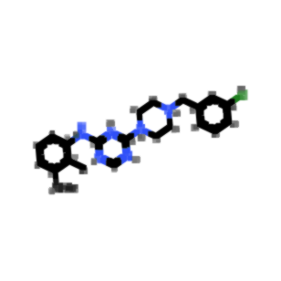 CC(=O)Nc1cccc(Nc2ncnc(N3CCN(Cc4cccc(Cl)c4)CC3)n2)c1C